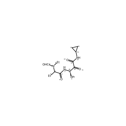 CCC[C@@H](NC(=O)C(CC)N(C=O)CC)C(=O)C(=O)NC1CC1